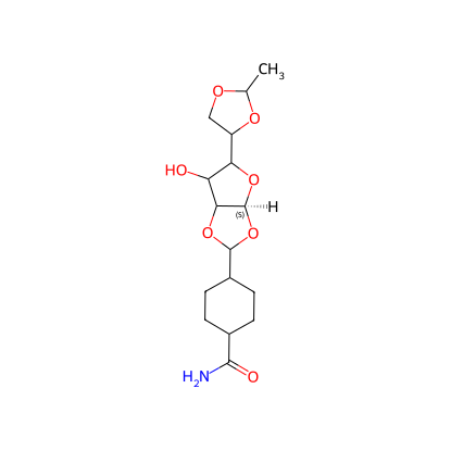 CC1OCC(C2O[C@H]3OC(C4CCC(C(N)=O)CC4)OC3C2O)O1